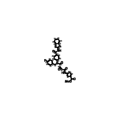 COC(=O)c1cnc(NC(=O)[C@H]2O[C@@H]2C(=O)N(Cc2ccc(F)cc2)c2ccc(C(=O)Nc3nc4ccccc4s3)cc2)s1